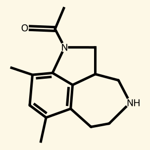 CC(=O)N1CC2CNCCc3c(C)cc(C)c1c32